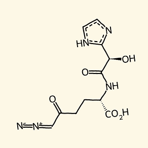 [N-]=[N+]=CC(=O)CC[C@H](NC(=O)[C@H](O)c1ncc[nH]1)C(=O)O